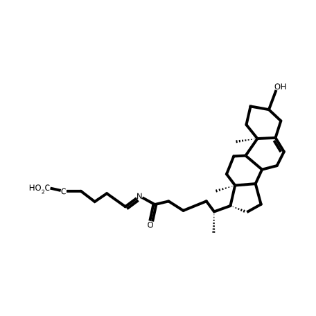 C[C@H](CCCC(=O)N=CCCCCC(=O)O)[C@H]1CCC2C3CC=C4CC(O)CC[C@]4(C)C3CC[C@@]21C